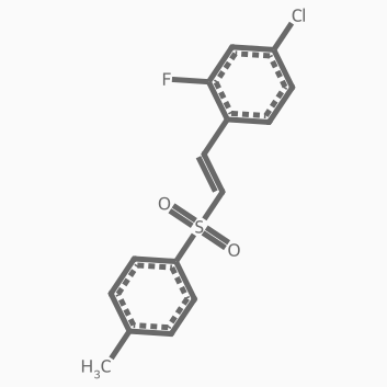 Cc1ccc(S(=O)(=O)C=Cc2ccc(Cl)cc2F)cc1